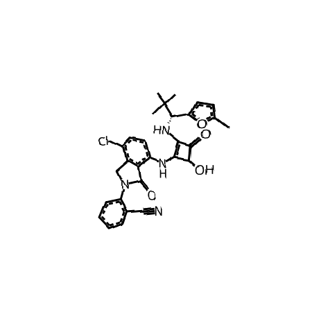 Cc1ccc([C@H](NC2=C(Nc3ccc(Cl)c4c3C(=O)N(c3ccccc3C#N)C4)C(O)C2=O)C(C)(C)C)o1